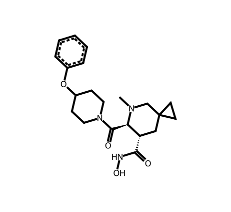 CN1CC2(CC2)C[C@H](C(=O)NO)[C@H]1C(=O)N1CCC(Oc2ccccc2)CC1